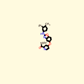 CNC(=O)c1cc(Oc2ccc3oc(Nc4ccc(C)c(C(C)C)c4)nc3c2)ccn1